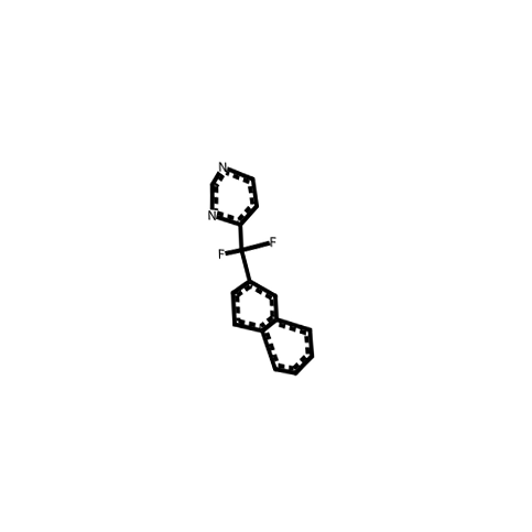 FC(F)(c1ccc2ccccc2c1)c1ccncn1